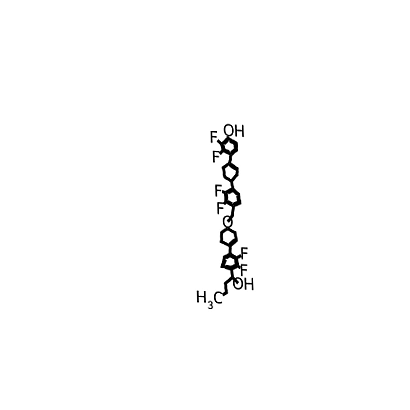 CCCC(O)c1ccc(C2=CCC(OCc3ccc(C4CC=C(c5ccc(O)c(F)c5F)CC4)c(F)c3F)CC2)c(F)c1F